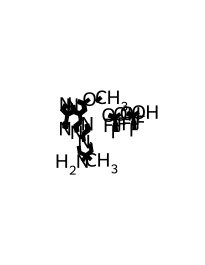 CCOc1cc(-c2cnc(N3CCC(C)(N)CC3)cn2)c2c(C#N)cnn2c1.O=C(O)C(F)(F)F.O=C(O)C(F)(F)F